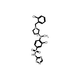 CN(c1ccc(S(=O)(=O)Nc2ncns2)cc1Cl)[C@H]1CCN(Cc2ccccc2Cl)C1